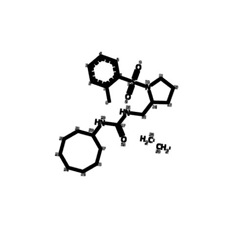 Cc1ccccc1S(=O)(=O)N1CCCC1CNC(=O)N[C]1CCCCCCC1.[CH2].[CH2]